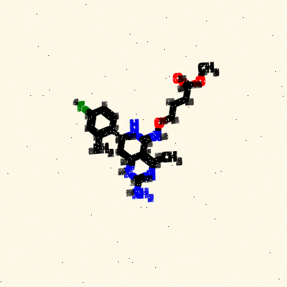 Bc1cc(F)ccc1[C@H]1Cc2nc(N)nc(C)c2/C(=N/OCCCC(=O)OC)N1